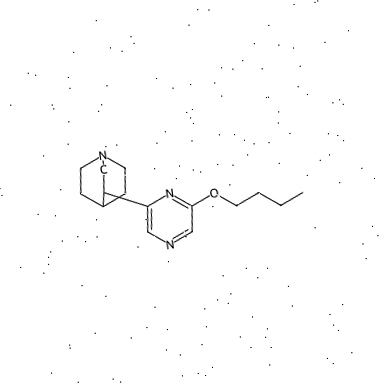 CCCCOc1cncc(C2CN3CCC2CC3)n1